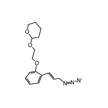 [N-]=[N+]=NC/C=C/c1ccccc1OCCOC1CCCCO1